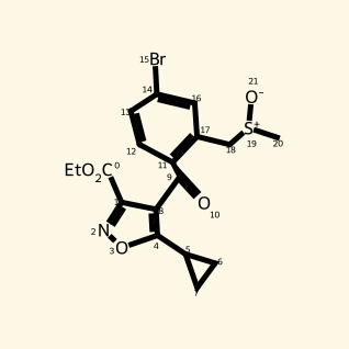 CCOC(=O)c1noc(C2CC2)c1C(=O)c1ccc(Br)cc1C[S+](C)[O-]